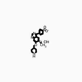 COc1cc2c(-c3ccc([N+](=O)[O-])cc3)ncnc2cc1OCC1CCNCC1.Cl